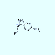 N/C(=C/CF)c1ccc(N)cc1